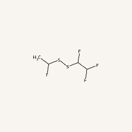 CC(F)SSC(F)C(F)F